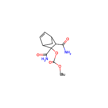 CC(C)(C)OC(=O)OC1(C(N)=O)C2C=CC(C2)C1C(N)=O